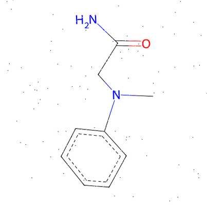 CN(CC(N)=O)c1ccccc1